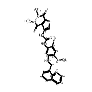 COC(=O)c1scc(NC(=O)Nc2cc(NCc3cccc4cccnc34)c(OC)cc2F)c1C(=O)OC